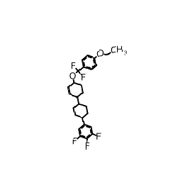 CCOc1ccc(C(F)(F)OC2CCC(C3CCC(c4cc(F)c(F)c(F)c4)CC3)CC2)cc1